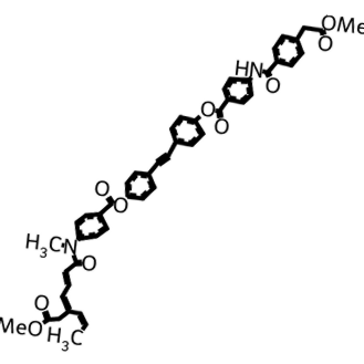 C\C=C/C(=C\C=C\C(=O)N(C)c1ccc(C(=O)Oc2ccc(C#Cc3ccc(OC(=O)c4ccc(NC(=O)c5ccc(CC(=O)OC)cc5)cc4)cc3)cc2)cc1)CC(=O)OC